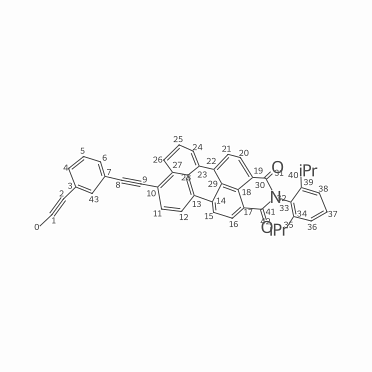 CC#Cc1cccc(C#Cc2ccc3c4ccc5c6c(ccc(c7cccc2c73)c64)C(=O)N(c2c(C(C)C)cccc2C(C)C)C5=O)c1